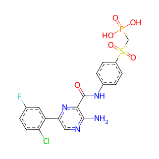 Nc1ncc(-c2cc(F)ccc2Cl)nc1C(=O)Nc1ccc(S(=O)(=O)CP(=O)(O)O)cc1